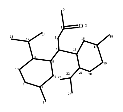 CC(=O)CC(C1CC(C)CCC1C(C)C)C1CC(C)CCC1C(C)C